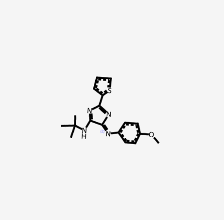 COc1ccc(/N=C2\N=C(c3cccs3)N=C2NC(C)(C)C)cc1